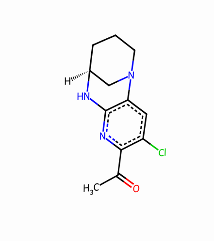 CC(=O)c1nc2c(cc1Cl)N1CCC[C@@H](C1)N2